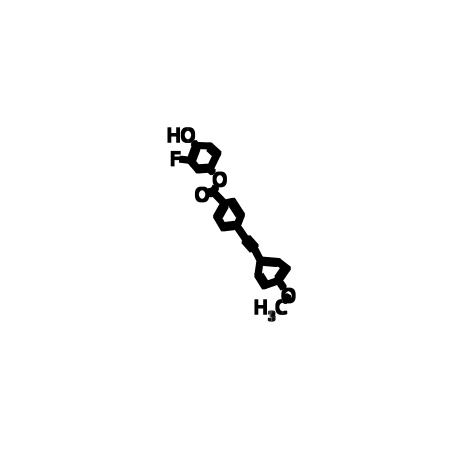 COc1ccc(C#Cc2ccc(C(=O)Oc3ccc(O)c(F)c3)cc2)cc1